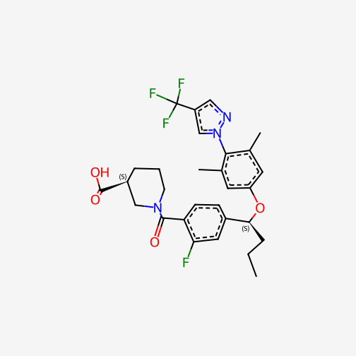 CCC[C@H](Oc1cc(C)c(-n2cc(C(F)(F)F)cn2)c(C)c1)c1ccc(C(=O)N2CCC[C@H](C(=O)O)C2)c(F)c1